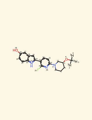 [3H]C([3H])([3H])O[C@H]1CCCN(c2ccc(-c3cc4cc(O)ccc4[nH]3)c(F)n2)C1